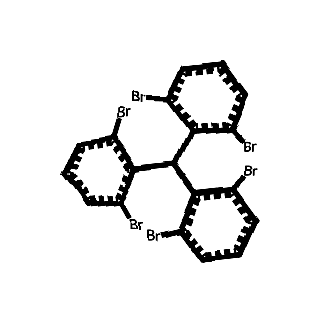 Brc1cccc(Br)c1C(c1c(Br)cccc1Br)c1c(Br)cccc1Br